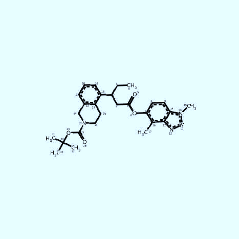 CCC(CC(=O)Oc1ccc2c(nnn2C)c1C)c1cccc2c1CCN(C(=O)OC(C)(C)C)C2